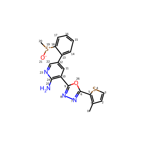 Cc1ccsc1-c1nnc(-c2cc(-c3ccccc3[S+](C)[O-])cnc2N)o1